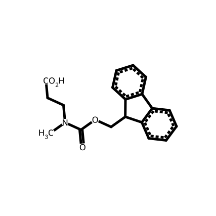 CN(CCC(=O)O)C(=O)OCC1c2ccccc2-c2ccccc21